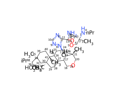 CCCN[C@@](C)(CO[C@H]1[C@H](n2ncnc2C(N)=O)C[C@@]23COC[C@]1(C)[C@@H]2CC[C@H]1C3=CC[C@@]2(C)[C@H](C(=O)O)[C@@](C)([C@H](C)C(C)C)CC[C@]12C)C(C)C